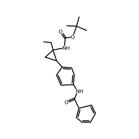 CCC1(NC(=O)OC(C)(C)C)CC1c1ccc(NC(=O)c2ccccc2)cc1